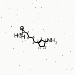 NC1C=C(CCCC[PH](=O)O)CC1